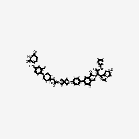 O=C1CC[C@H](Nc2ccc(N3CCC(O)(CC(=O)N4CC5(C4)CN(c4ccc(-c6cc(F)c7c(c6)C(=O)N(C(C(=O)Nc6nccs6)c6ncn8c6C[C@@H](F)C8)C7)cc4)C5)CC3)c(F)c2)C(=O)N1